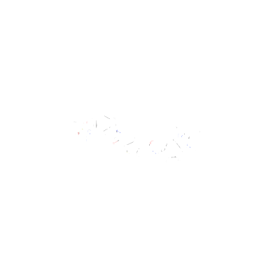 Cn1c(=O)n(C)c2cc(NC(=O)c3csc(C(=O)Nc4cccc(NS(C)(=O)=O)c4)c3)ccc21